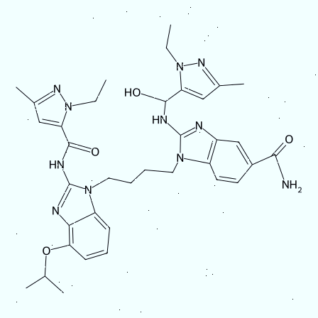 CCn1nc(C)cc1C(=O)Nc1nc2c(OC(C)C)cccc2n1CCCCn1c(NC(O)c2cc(C)nn2CC)nc2cc(C(N)=O)ccc21